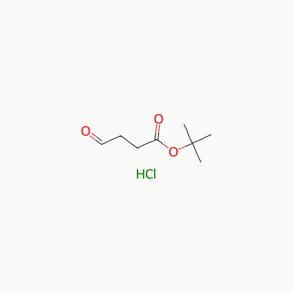 CC(C)(C)OC(=O)CCC=O.Cl